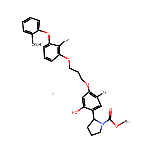 CCCc1c(OCCCOc2cc(O)c(C3CCCN3C(=O)OC(C)(C)C)cc2CC)cccc1Oc1ccccc1C(=O)O.[Li]